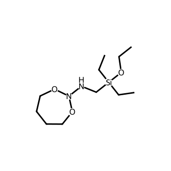 CCO[Si](CC)(CC)CNN1OCCCCO1